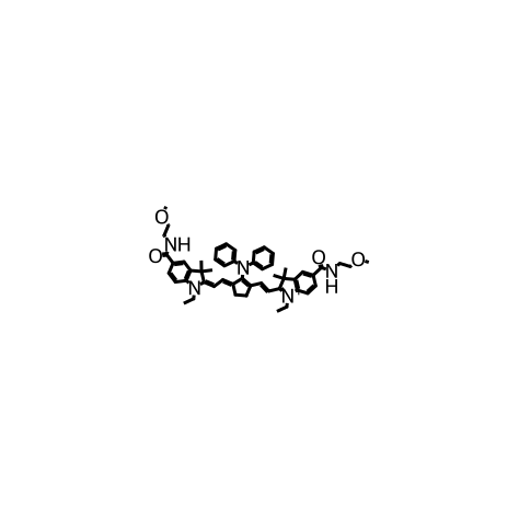 CCN1/C(=C/C=C2\CCC(/C=C/C3=[N+](CC)c4ccc(C(=O)NCCOC)cc4C3(C)C)=C2N(c2ccccc2)c2ccccc2)C(C)(C)c2cc(C(=O)NCCOC)ccc21